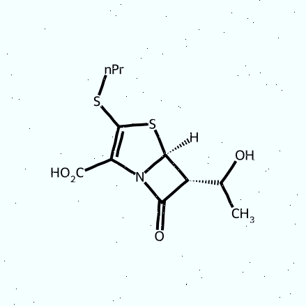 CCCSC1=C(C(=O)O)N2C(=O)[C@@H](C(C)O)[C@@H]2S1